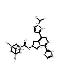 O=C(N[C@H]1CC2=C(c3ccn(C(F)F)n3)CN=C(c3nccs3)N2C1)N1C[C@H]2C[C@@H](C1)[C@@H]2O